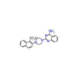 Nc1nc(N2CCN(c3ccc4ccccc4c3S(=O)(=O)O)CC2)nc2ccccc12